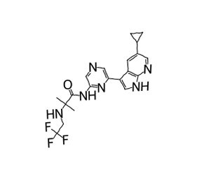 CC(C)(NCC(F)(F)F)C(=O)Nc1cncc(-c2c[nH]c3ncc(C4CC4)cc23)n1